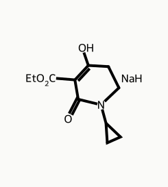 CCOC(=O)C1=C(O)CCN(C2CC2)C1=O.[NaH]